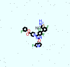 N#Cc1c(N)sc2c(F)ccc(-c3c(Cl)cc4c(N5CCC(C(=O)Oc6cccc(F)c6)CC5)nc(OC[C@@]56CCCN5C[C@H](F)C6)nc4c3F)c12